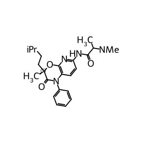 CNC(C)C(=O)Nc1ccc2c(n1)O[C@@](C)(CCC(C)C)C(=O)N2c1ccccc1